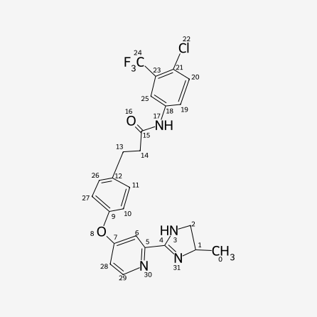 CC1CNC(c2cc(Oc3ccc(CCC(=O)Nc4ccc(Cl)c(C(F)(F)F)c4)cc3)ccn2)=N1